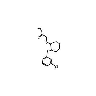 COC(=O)CSC1CCCCC1Sc1cccc(Cl)c1